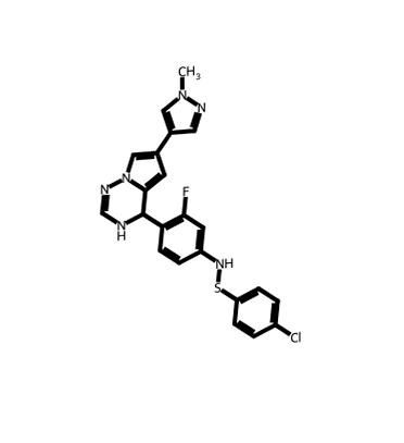 Cn1cc(-c2cc3n(c2)N=CNC3c2ccc(NSc3ccc(Cl)cc3)cc2F)cn1